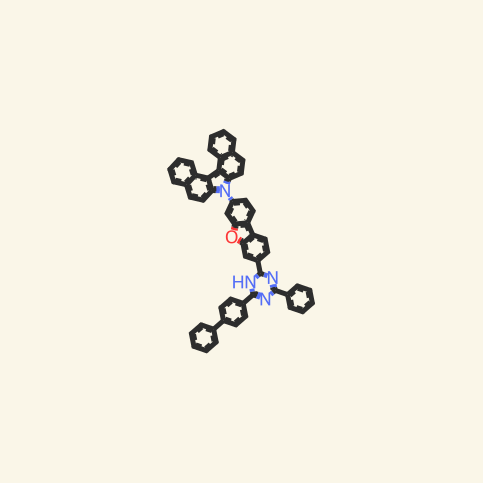 c1ccc(C2=NC(c3ccc4c(c3)oc3cc(-n5c6ccc7ccccc7c6c6c7ccccc7ccc65)ccc34)NC(c3ccc(-c4ccccc4)cc3)=N2)cc1